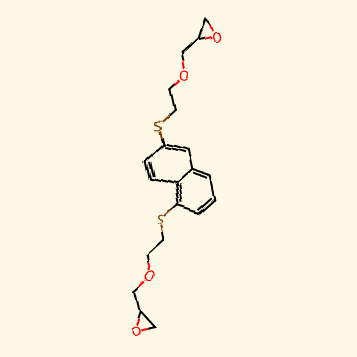 c1cc(SCCOCC2CO2)c2ccc(SCCOCC3CO3)cc2c1